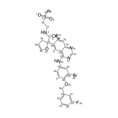 CC(NCCS(=O)(=O)C(C)C)C1(c2cc3c(Nc4ccc(OCc5cccc(F)c5)c(Br)c4)ncnc3cc2F)CC=CO1